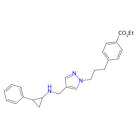 CCOC(=O)c1ccc(CCCn2cc(CNC3CC3c3ccccc3)cn2)cc1